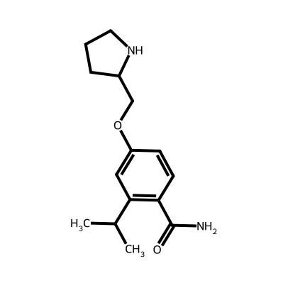 CC(C)c1cc(OCC2CCCN2)ccc1C(N)=O